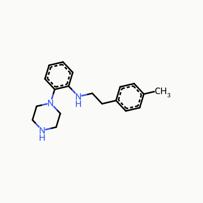 Cc1ccc(CCNc2ccccc2N2CCNCC2)cc1